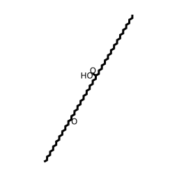 CCCCCCCCCCCCCCCCCCCCCCCCC(CCCCCCCCCCCCCCCCC(=O)CCCCCCCCCCCCCCCCC)C(=O)O